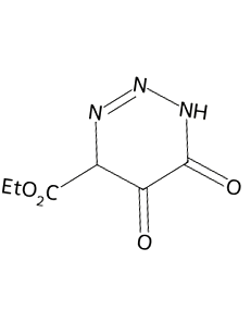 CCOC(=O)C1N=NNC(=O)C1=O